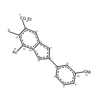 CCOC(=O)c1cc2cc(-c3cccc(OC)c3)cn2c(C(C)=O)c1C